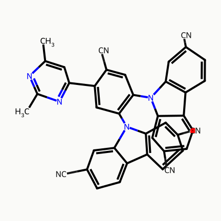 Cc1cc(-c2cc(-n3c4cc(C#N)ccc4c4ccc(C#N)cc43)c(-n3c4cc(C#N)ccc4c4ccc(C#N)cc43)cc2C#N)nc(C)n1